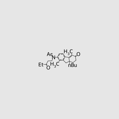 CCCCC12CCC(=O)C(C)=C1c1ccc(N(CCC(=O)CC)C(C)=O)c(C)c1C2